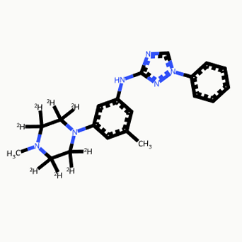 [2H]C1([2H])N(C)C([2H])([2H])C([2H])([2H])N(c2cc(C)cc(Nc3ncn(-c4ccccc4)n3)c2)C1([2H])[2H]